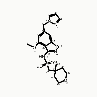 COc1cc(Cn2cccn2)cc2onc(NS(=O)(=O)CC3(C)CCOCC3)c12